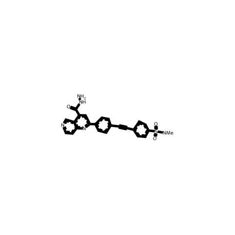 CNS(=O)(=O)c1ccc(C#Cc2ccc(-c3cc(C(=O)NN)c4cnccc4n3)cc2)cc1